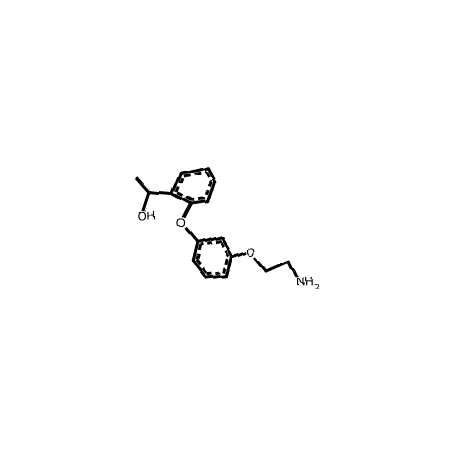 CC(O)c1ccccc1Oc1cccc(OCCN)c1